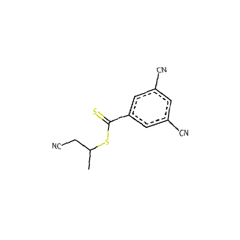 CC(CC#N)SC(=S)c1cc(C#N)cc(C#N)c1